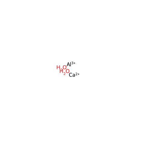 O.O.[Al+3].[Ca+2]